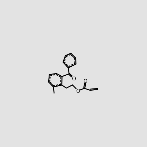 C=CC(=O)OCCc1c(C)cccc1C(=O)c1ccccc1